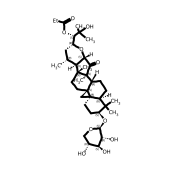 CCC(=O)O[C@@H]([C@H]1C[C@@H](C)[C@H]2[C@H](O1)C(=O)[C@@]1(C)[C@@H]3CC[C@H]4C(C)(C)[C@@H](O[C@@H]5OC[C@@H](O)[C@H](O)[C@H]5O)CC[C@@]45C[C@@]35CC[C@]21C)C(C)(C)O